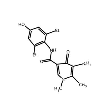 CCc1cc(O)cc(CC)c1NC(=O)c1cn(C)c(C)c(C)c1=O